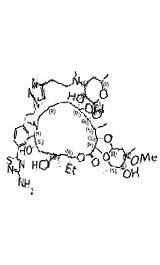 CC[C@H]1OC(=O)[C@H](C)[C@@H](O[C@H]2C[C@@](C)(OC)[C@@H](O)[C@H](C)O2)[C@H](C)[C@@H](O[C@@H]2O[C@H](C)C[C@H](N(C)CCc3cn(CCc4ccc(-c5nc(N)ns5)cc4)nn3)[C@H]2O)[C@](C)(O)CC[C@@H](C)CN(C)[C@H](C)[C@@H](O)C[C@]1(C)O